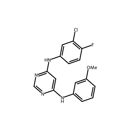 COc1cccc(Nc2cc(Nc3ccc(F)c(Cl)c3)ncn2)c1